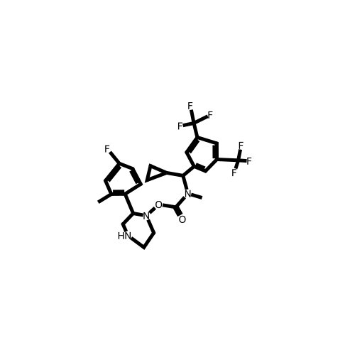 Cc1cc(F)ccc1C1CNCCN1OC(=O)N(C)C(c1cc(C(F)(F)F)cc(C(F)(F)F)c1)C1CC1